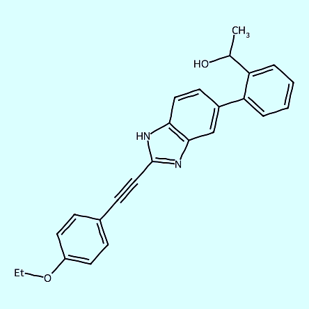 CCOc1ccc(C#Cc2nc3cc(-c4ccccc4C(C)O)ccc3[nH]2)cc1